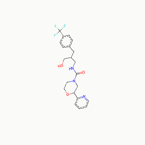 O=C(NCC(CO)Cc1ccc(C(F)(F)F)cc1)N1CCOC(c2ccccn2)C1